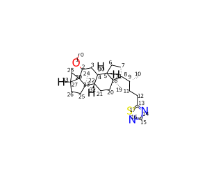 COC1C[C@H]2[C@@H]3CC[C@H]([C@H](C)CCc4ncns4)[C@@]3(C)CC[C@@H]2[C@@]2(C)CC[C@@H]3CC132